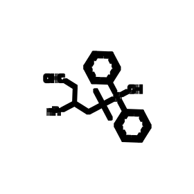 CCCC(CC=O)CC(C)(C)[Si](O)(c1ccccc1)c1ccccc1